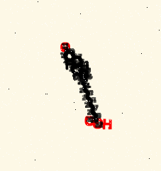 C[C@]12CC[C@H]3[C@@H](CCC4=CC(=O)CC[C@@]43C)[C@@H]1CC[C@@H]2CCCCCCCCCCC(=O)O